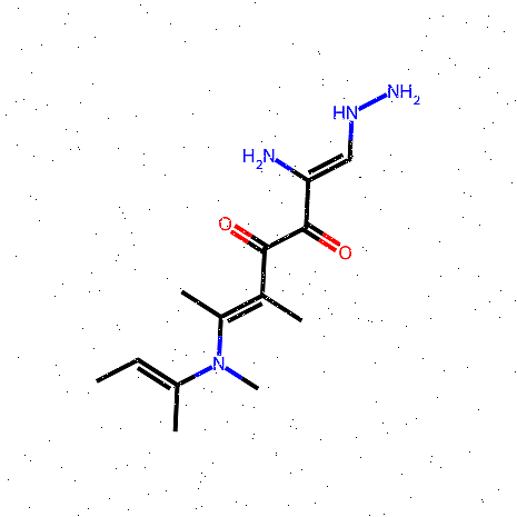 C/C=C(\C)N(C)/C(C)=C(\C)C(=O)C(=O)/C(N)=C/NN